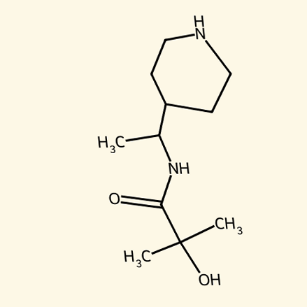 CC(NC(=O)C(C)(C)O)C1CCNCC1